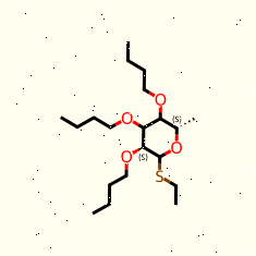 CCCCOC1C(OCCCC)[C@H](C)OC(SCC)[C@H]1OCCCC